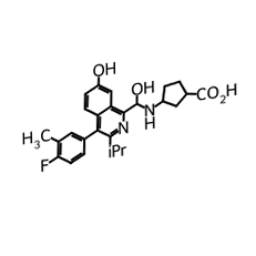 Cc1cc(-c2c(C(C)C)nc(C(O)NC3CCC(C(=O)O)C3)c3cc(O)ccc23)ccc1F